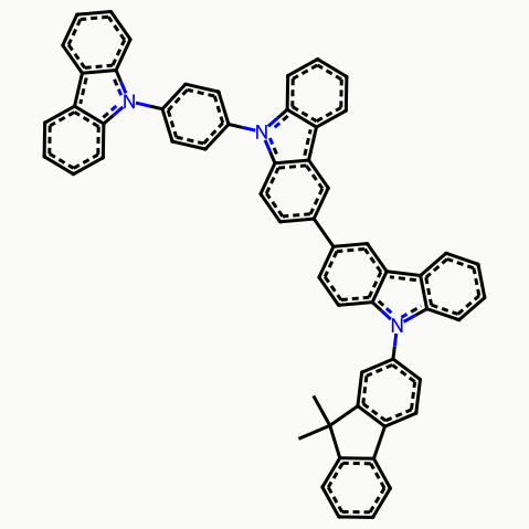 CC1(C)c2ccccc2-c2ccc(-n3c4ccccc4c4cc(-c5ccc6c(c5)c5ccccc5n6-c5ccc(-n6c7ccccc7c7ccccc76)cc5)ccc43)cc21